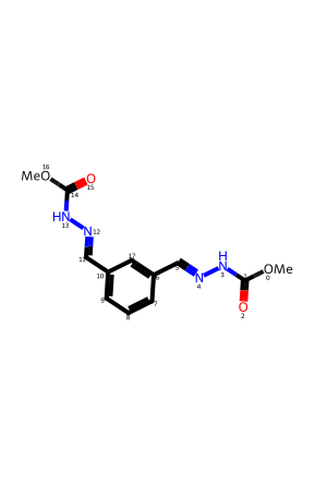 COC(=O)N/N=C/c1cccc(/C=N/NC(=O)OC)c1